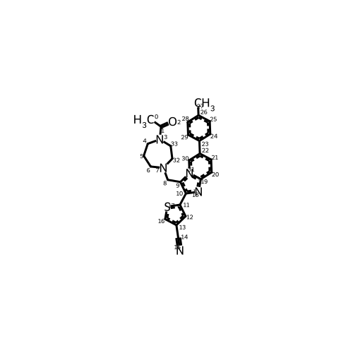 CC(=O)N1CCCN(Cc2c(-c3cc(C#N)cs3)nc3ccc(-c4ccc(C)cc4)cn23)CC1